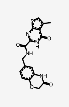 Cc1csc2nc(C(=O)NCc3ccc4c(c3)NC(=O)CO4)[nH]c(=O)c12